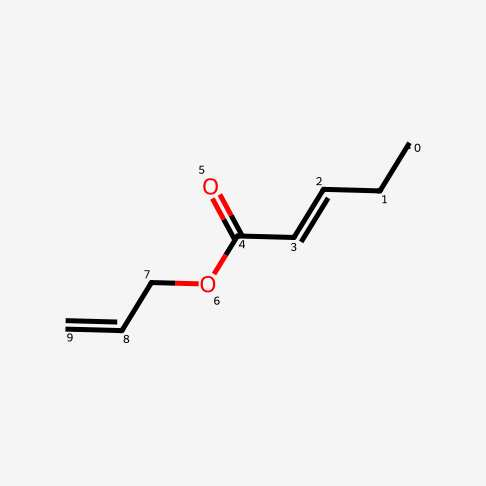 [CH2]CC=CC(=O)OCC=C